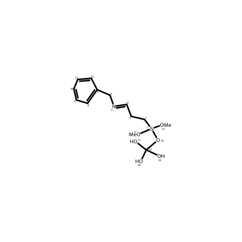 CO[Si](CCC=NCc1ccccc1)(OC)OC(O)(O)O